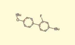 CC(C)(C)Oc1ccc(-c2ccc(C(C)(C)C)cc2F)cc1